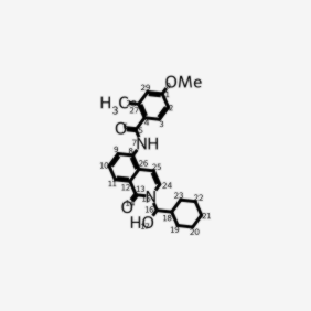 COc1ccc(C(=O)Nc2cccc3c(=O)n(C(O)C4CCCCC4)ccc23)c(C)c1